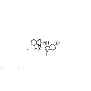 Cn1c(Nc2c[nH]c3ccc(Br)cc23)nc2ccccc21